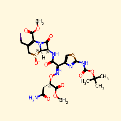 BOC(=O)C1=C(CI)C[S+]([O-])[C@@H]2[C@H](NC(=O)/C(=N\O[C@@H](CC(N)=O)C(=O)OB)c3csc(NC(=O)OC(C)(C)C)n3)C(=O)N12